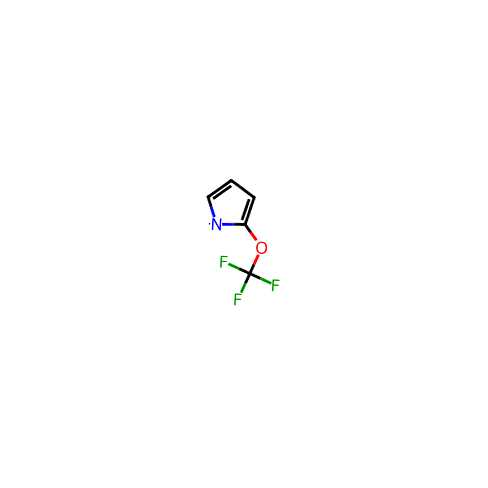 FC(F)(F)OC1=CC=C[N]1